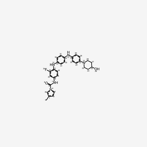 Cc1ccn(C(=O)Nc2ccc(Nc3ccc(Nc4ccc(N5CCC(O)CC5)cc4)cc3)c(F)c2)c1